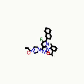 C=CC(=O)N1CCN(c2nc(=O)n(-c3c(C)cccc3C(C)C)c3nc(-c4ccc5ccccc5c4)c(F)cc23)CC1